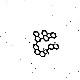 c1ccc2c(c1)-c1cccc3c(-c4cc(-c5ccc6ccc7ccc8nc(-c9ccc%10ncccc%10c9)oc8c7c6c5)cc5ccccc45)ccc-2c13